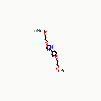 CCCCCCCCCOCCCCOc1cnc(-c2ccc(OCCCCOCCC)cc2)nc1